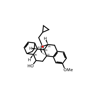 COc1ccc2c(c1)[C@]13CCN(CC4CC4)[C@H](C2)[C@@H]1[C@H]1C2C=CC(CC2)[C@H]1C(O)C3